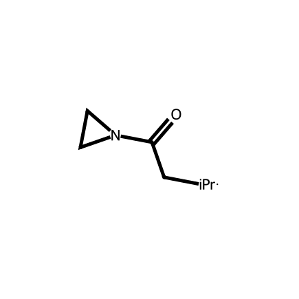 C[C](C)CC(=O)N1CC1